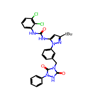 CC(C)(C)c1cc(NC(=O)Nc2cccc(Cl)c2Cl)n(-c2cccc(Cn3c(=O)[nH]n(-c4ccccc4)c3=O)c2)n1